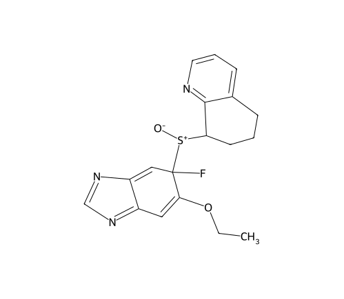 CCOC1=CC2=NC=NC2=CC1(F)[S+]([O-])C1CCCc2cccnc21